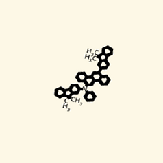 CC1(C)c2ccccc2-c2ccc(-c3cc4c5ccccc5c(N(c5ccccc5)c5ccc6c(c5)C(C)(C)c5ccccc5-6)cc4c4ccccc34)cc21